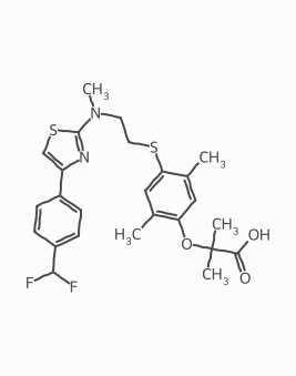 Cc1cc(SCCN(C)c2nc(-c3ccc(C(F)F)cc3)cs2)c(C)cc1OC(C)(C)C(=O)O